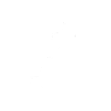 CC(C)(C)c1cc(SSC(C)(C)c2ccccc2)ccc1Cl